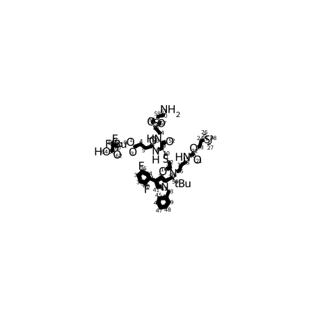 CC(C)(C)OC(=O)CCC(=O)N[C@@H](CSCC(=O)N(CCCNC(=O)OCC[Si](C)(C)C)[C@@H](c1cc(-c2cc(F)ccc2F)cn1Cc1ccccc1)C(C)(C)C)C(=O)NCCS(=O)(=O)CCN.O=C(O)C(F)(F)F